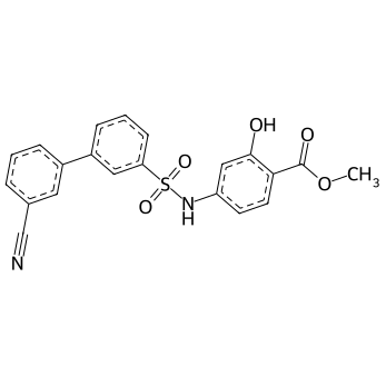 COC(=O)c1ccc(NS(=O)(=O)c2cccc(-c3cccc(C#N)c3)c2)cc1O